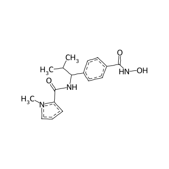 CC(C)C(NC(=O)c1cccn1C)c1ccc(C(=O)NO)cc1